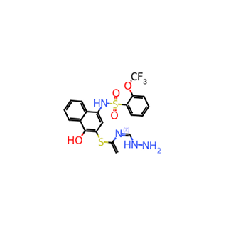 C=C(/N=C\NN)Sc1cc(NS(=O)(=O)c2ccccc2OC(F)(F)F)c2ccccc2c1O